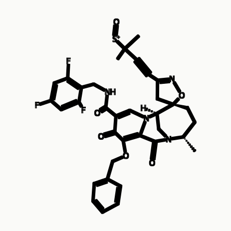 C[C@H]1CC[C@]2(CC(C#CC(C)(C)[S+]=O)=NO2)[C@H]2CN1C(=O)c1c(OCc3ccccc3)c(=O)c(C(=O)NCc3c(F)cc(F)cc3F)cn12